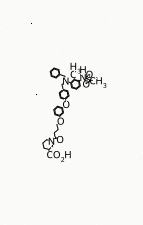 Cc1c(NS(C)(=O)=O)cccc1N(Cc1ccccc1)Cc1ccc(Oc2cccc(OCCCC(=O)N3CCCC(C(=O)O)C3)c2)cc1